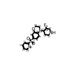 O=S(=O)(c1ccc2c(c1)OCCN2C1CCNCC1F)c1ccccn1